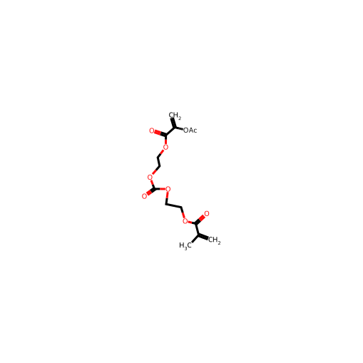 C=C(C)C(=O)OCCOC(=O)OCCOC(=O)C(=C)OC(C)=O